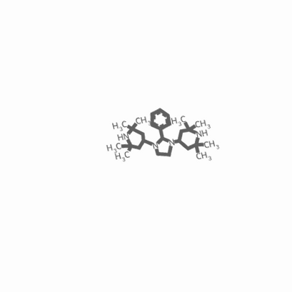 CC1(C)CC(N2CCN(C3CC(C)(C)NC(C)(C)C3)C2c2ccccc2)CC(C)(C)N1